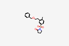 Cc1ccc(S(=O)(=O)N2CCCC2=O)cc1CCOCc1ccccc1